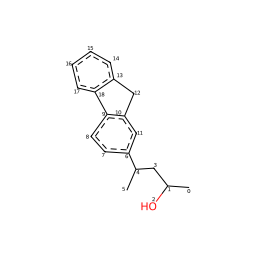 CC(O)CC(C)c1ccc2c(c1)Cc1ccccc1-2